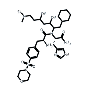 CCN(C)CCC(O)CC(O)C(CC1CCCCC1)N(C(=O)[C@@H](N)Cc1ccc(S(=O)(=O)N2CCOCC2)cc1)[C@@H](Cc1c[nH]cn1)C(N)=O